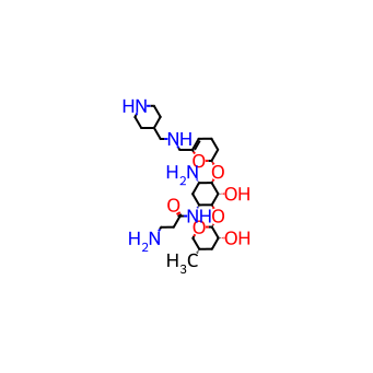 C[C@@H]1CO[C@H](O[C@@H]2[C@@H](O)[C@H](O[C@@H]3CCC=C(CNCC4CCNCC4)O3)[C@@H](N)C[C@H]2NC(=O)CCN)[C@H](O)C1